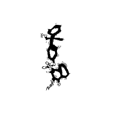 CC(C)CC(C)(c1cc[c]cc1)c1ccc(OS(=O)(=O)C2=CC(=[N+]=[N-])C(=O)c3ccccc32)cc1